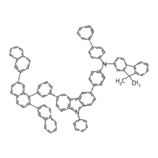 CC1(C)c2ccccc2-c2ccc(N(c3ccc(-c4ccccc4)cc3)c3ccc(-c4ccc5c(c4)c4cc(-c6cccc(-c7c(-c8ccc9ccccc9c8)ccc8ccc(-c9ccc%10ccccc%10c9)cc78)c6)ccc4n5-c4ccccc4)cc3)cc21